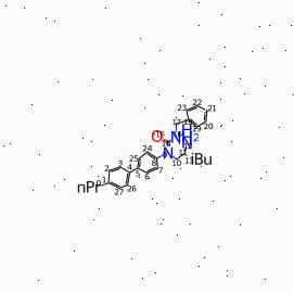 CCCc1ccc(-c2ccc(N(C[C@@H](N)[C@@H](C)CC)C(=O)NCc3ccccc3)cc2)cc1